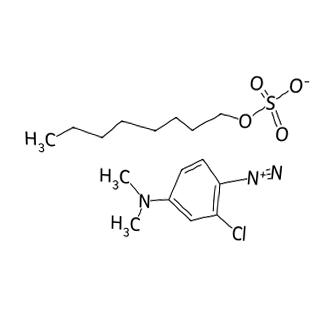 CCCCCCCCOS(=O)(=O)[O-].CN(C)c1ccc([N+]#N)c(Cl)c1